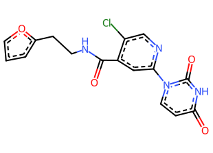 O=C(NCCc1ccco1)c1cc(-n2ccc(=O)[nH]c2=O)ncc1Cl